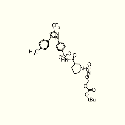 Cc1ccc(-c2cc(C(F)(F)F)nn2-c2ccc(S(=O)(=O)NC(=O)C3CCCN(/[N+]([O-])=N\OCOC(=O)OC(C)(C)C)C3)cc2)cc1